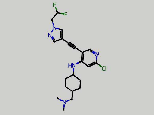 CN(C)CC1CCC(Nc2cc(Cl)ncc2C#Cc2cnn(CC(F)F)c2)CC1